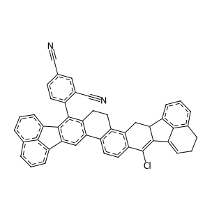 N#Cc1ccc(-c2c3c(cc4c2-c2cccc5cccc-4c25)-c2ccc4c(c2CC3)CC2C(=C4Cl)C3=CCCc4cccc2c43)c(C#N)c1